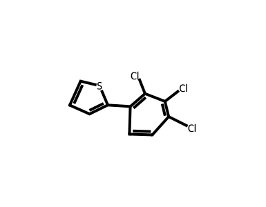 Clc1ccc(-c2cccs2)c(Cl)c1Cl